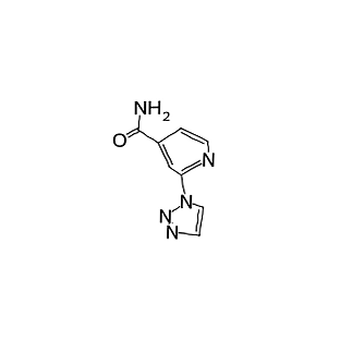 NC(=O)c1ccnc(-n2ccnn2)c1